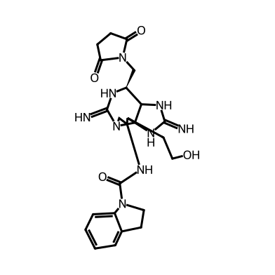 N=C1NC2[C@H](CN3C(=O)CCC3=O)NC(=N)N3CC(NC(=O)N4CCc5ccccc54)C(CCO)C23N1